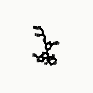 CNCC(O)COc1cc(OC)cc(-c2cc(N3[C@@H]4CC[C@@H]3COC4)c3cnn(C(C)C)c3n2)c1